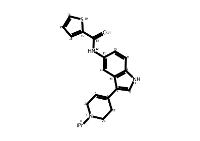 CC(C)N1CC=C(c2c[nH]c3ccc(NC(=O)c4cccs4)cc23)CC1